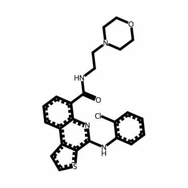 O=C(NCCN1CCOCC1)c1cccc2c1nc(Nc1ccccc1Cl)c1sccc12